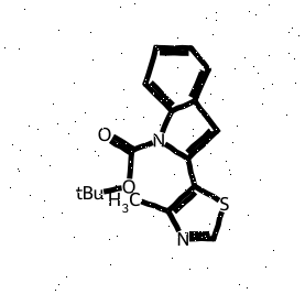 Cc1ncsc1-c1cc2ccccc2n1C(=O)OC(C)(C)C